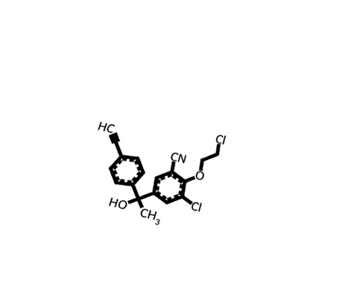 C#Cc1ccc(C(C)(O)c2cc(Cl)c(OCCCl)c(C#N)c2)cc1